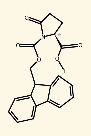 O=C(OI)[C@@H]1CCC(=O)N1C(=O)OCC1c2ccccc2-c2ccccc21